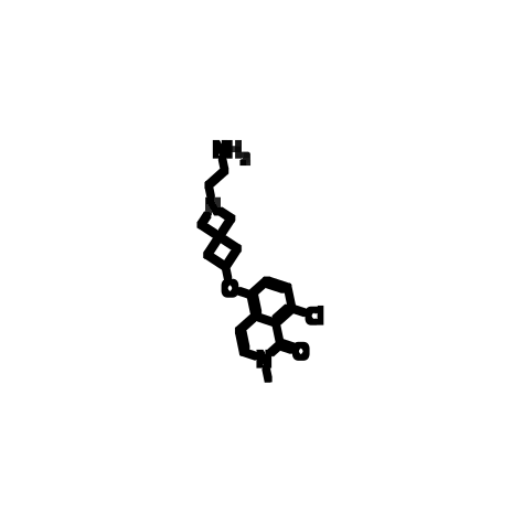 Cn1ccc2c(OC3CC4(C3)CN(CCN)C4)ccc(Cl)c2c1=O